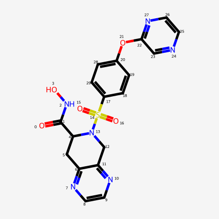 O=C(NO)C1Cc2nccnc2CN1S(=O)(=O)c1ccc(Oc2cnccn2)cc1